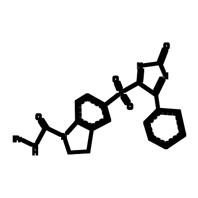 CC(C)NC(=O)N1CCc2cc(S(=O)(=O)C3=NC(=O)N=C3c3ccccc3)ccc21